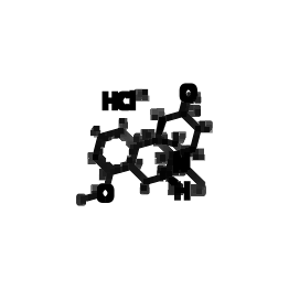 COc1cccc2c1C[C@@H]1[C@@H]3CCC(=O)C[C@]23CCN1C.Cl